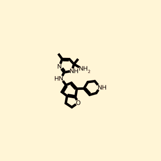 CC1=CC(C)(N)NC(Nc2cc3c(c(C4=CCNCC4)c2)OCC3)=N1